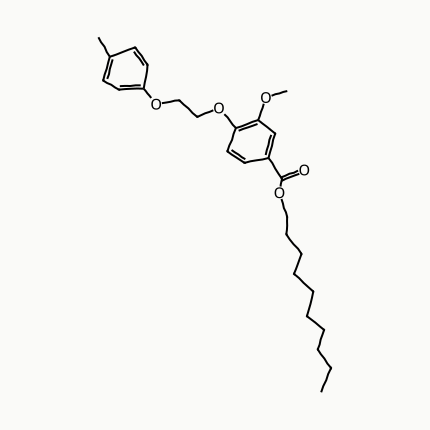 CCCCCCCCCCOC(=O)c1ccc(OCCOc2ccc(C)cc2)c(OC)c1